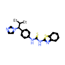 CCC(CC)C(c1ccc(NC(=S)Nc2nc3ccccc3s2)cc1)n1ccnc1